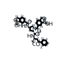 O=C(O)C[C@H](CCc1ccccc1)NC(=O)[C@@H]1C[C@@H](NC(=O)c2ccc3c(c2)B(O)OC3)CN1C(=O)c1ccc2c(c1)B(O)OC2